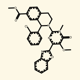 COC(=O)c1ccc2c(c1)C(c1ccccc1Cl)N(c1nc(-c3nc4ccccc4o3)c(OC)c(=O)n1C)CC2